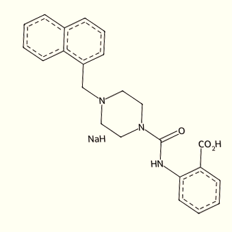 O=C(O)c1ccccc1NC(=O)N1CCN(Cc2cccc3ccccc23)CC1.[NaH]